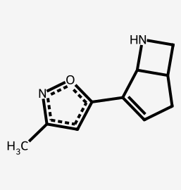 Cc1cc(C2=CCC3CNC23)on1